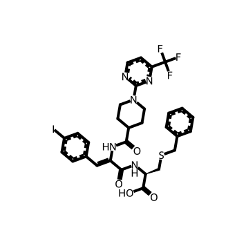 O=C(N[C@@H](CSCc1ccccc1)C(=O)O)C(=Cc1ccc(I)cc1)NC(=O)C1CCN(c2nccc(C(F)(F)F)n2)CC1